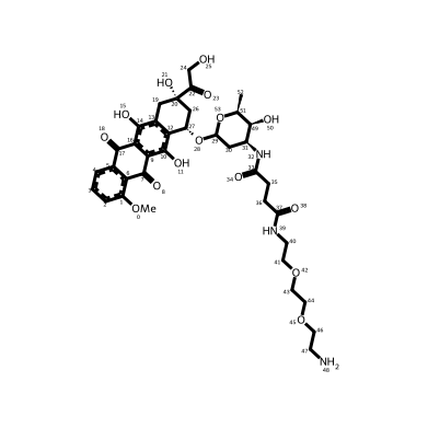 COc1cccc2c1C(=O)c1c(O)c3c(c(O)c1C2=O)C[C@@](O)(C(=O)CO)C[C@@H]3OC1C[C@H](NC(=O)CCC(=O)NCCOCCOCCN)[C@H](O)[C@H](C)O1